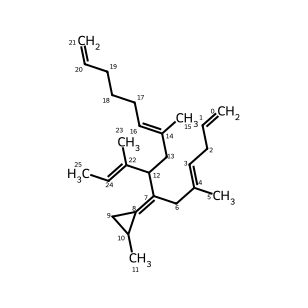 C=CCC=C(C)CC(=C1CC1C)C(CC(C)=CCCCC=C)C(C)=CC